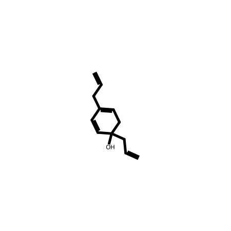 C=CCC1=CCC(O)(CC=C)C=C1